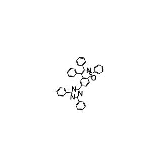 O=S1(c2ccccc2)=NC(c2ccccc2)=C(c2ccccc2)c2cc(-c3nc(-c4ccccc4)nc(-c4ccccc4)n3)ccc21